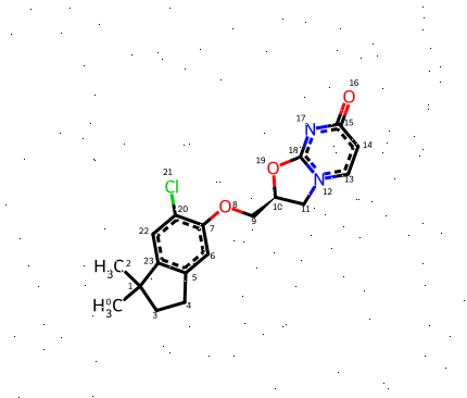 CC1(C)CCc2cc(OC[C@@H]3Cn4ccc(=O)nc4O3)c(Cl)cc21